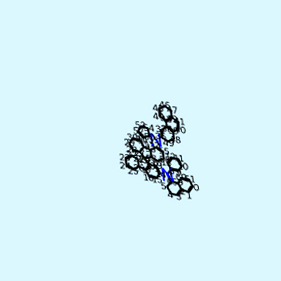 C1=CC2=CCCC(N(c3ccccc3)c3ccc4c(c3)[C@@]3(C5C=CC=CC45)C4CCC=CC4C4C(N(C5=Cc6c(ccc7c6C=CCC7)CC5)C5C=CCC5)=CCCC43)C2C=C1